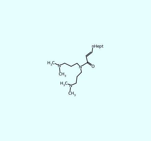 CCCCCCCC=CC(=O)N(CCCN(C)C)CCCN(C)C